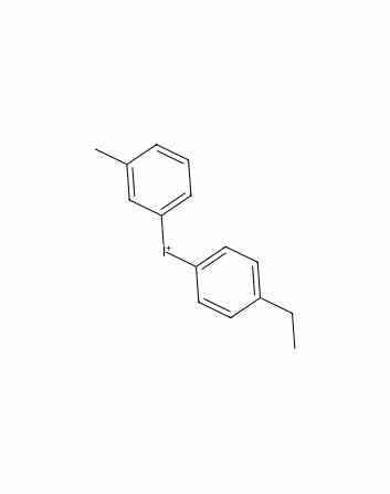 CCc1ccc([I+]c2cccc(C)c2)cc1